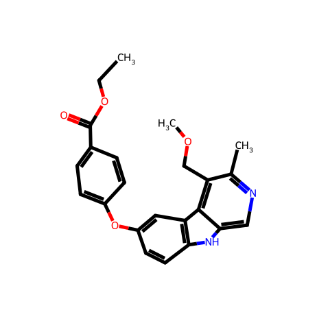 CCOC(=O)c1ccc(Oc2ccc3[nH]c4cnc(C)c(COC)c4c3c2)cc1